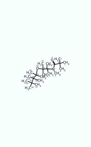 CN(C(=O)C(C)(C)C)C(C)(C)C(C)(C)OC(C)(C)C(C)(C)C(C)(C)C